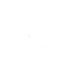 CC1(C)Oc2ccc(C(=O)c3ccc(Cl)cc3)cc2C(N2CCCC2=O)C1O